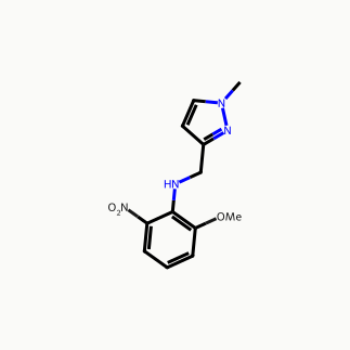 COc1cccc([N+](=O)[O-])c1NCc1ccn(C)n1